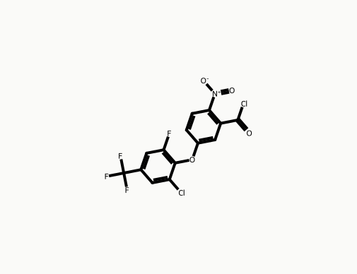 O=C(Cl)c1cc(Oc2c(F)cc(C(F)(F)F)cc2Cl)ccc1[N+](=O)[O-]